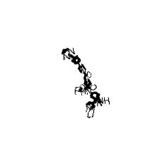 O=C(CN1CCC(COCF)(C(=O)NC2C=c3c(-c4ccnc(Cl)c4)n[nH]c3=CC2)C1)N1CCN(c2ccc(-c3ncccn3)cc2)CC1